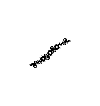 C=CC(=O)OCCCc1ccc(OC(=O)C2CCC(C(=O)Oc3ccc(CCCOC(=O)C=C)cc3)CC2)cc1